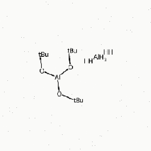 CC(C)(C)[O][Al]([O]C(C)(C)C)[O]C(C)(C)C.[AlH3].[HH].[LiH]